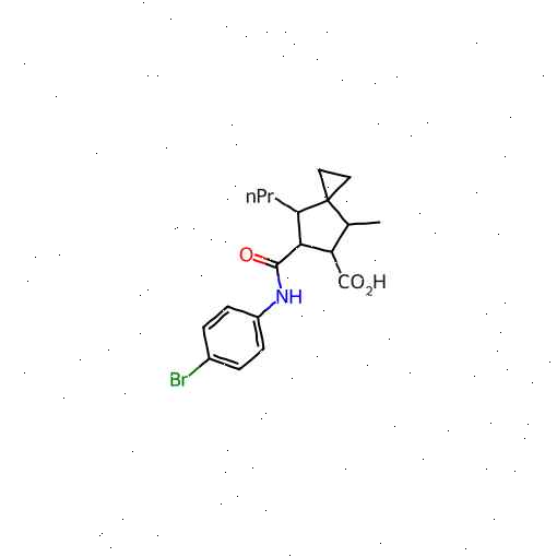 CCCC1C(C(=O)Nc2ccc(Br)cc2)C(C(=O)O)C(C)C12CC2